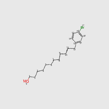 OCCCCCCCCCCCCc1ccc(Br)cc1